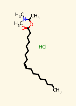 CCCCCCCC/C=C\CCCCCCCC(=O)OC(C)N(C)C.Cl